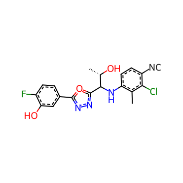 [C-]#[N+]c1ccc(NC(c2nnc(-c3ccc(F)c(O)c3)o2)[C@H](C)O)c(C)c1Cl